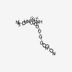 Cc1ncsc1-c1ccc(CNC(=O)[C@@H]2CCCN2C(=O)C(NC(=O)COCCOCCOCCCOc2ccc3nc(-c4ccc(N(C)C)cc4)ccc3c2)C(C)(C)C)cc1